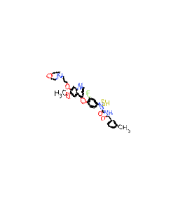 COc1cc2c(Oc3ccc(N(S)C(=O)NC(=O)Cc4cccc(C)c4)cc3F)ccnc2cc1OCCCN1CCOCC1